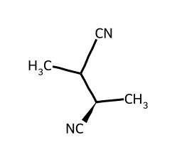 CC(C#N)[C@@H](C)C#N